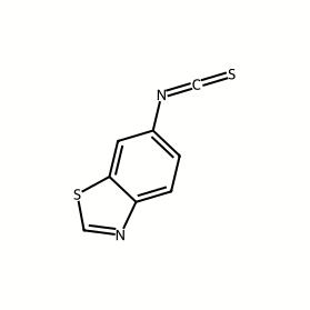 S=C=Nc1ccc2ncsc2c1